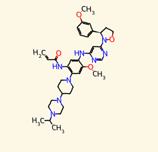 C=CC(=O)Nc1cc(Nc2cc(N3OCC[C@@H]3c3cccc(OC)c3)ncn2)c(OC)cc1N1CCC(N2CCN(C(C)C)CC2)CC1